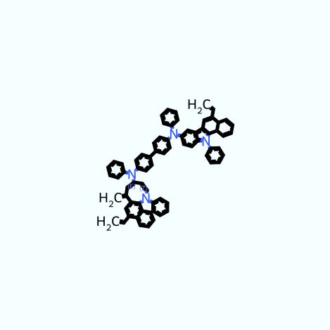 C=CC1=Cc2c(n(-c3ccccc3)c3ccc(N(c4ccccc4)c4ccc(-c5ccc(N(C6=C/C(=C)c7cc(C=C)c8ccccc8c7N(c7ccccc7)/C=C\6)c6ccccc6)cc5)cc4)cc23)C2C=CC=CC12